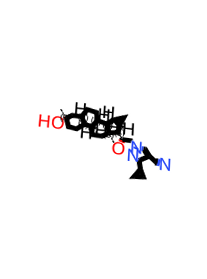 C[C@@]1(O)CC[C@H]2[C@H](CC[C@@H]3[C@@H]2CC[C@@]2(C)[C@H]3[C@@H]3C[C@@H]3[C@@H]2C(=O)Cn2cc(C#N)c(C3CC3)n2)C1